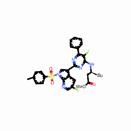 COC(=O)C[C@@H](Nc1nc(-c2cn(S(=O)(=O)c3ccc(C)cc3)c3ncc(F)cc23)nc(-c2ccccc2)c1F)C(C)(C)C